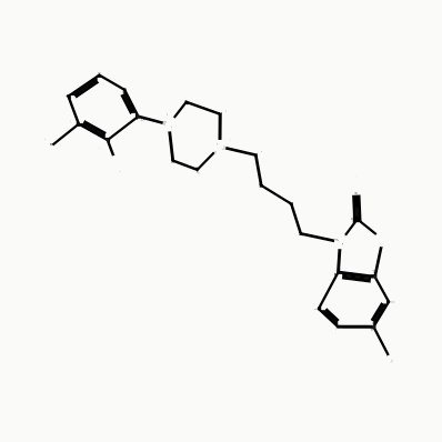 CC(=O)c1ccc2c(c1)oc(=O)n2CCCCN1CCN(c2cccc(Cl)c2Cl)CC1